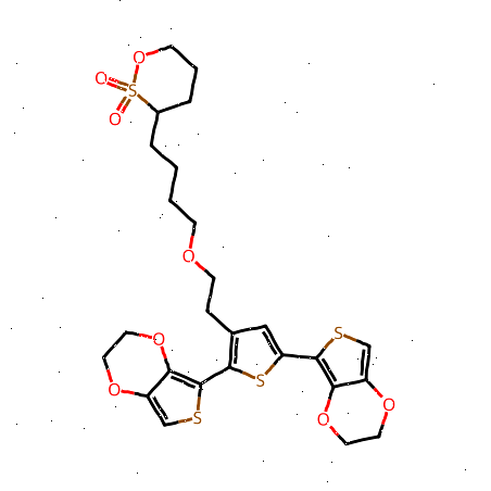 O=S1(=O)OCCCC1CCCCOCCc1cc(-c2scc3c2OCCO3)sc1-c1scc2c1OCCO2